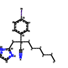 CCCCCCC(C#N)(Cc1ncc[nH]1)c1ccc(I)cc1